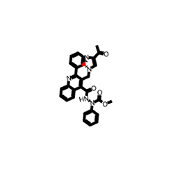 COC(=O)N(NC(=O)c1c(Cn2cc(C(C)=O)nn2)c(-c2ccccc2)nc2ccccc12)c1ccccc1